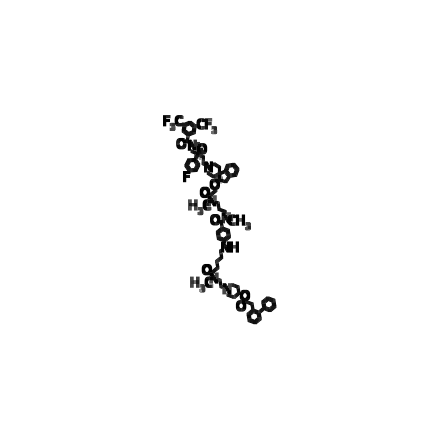 CN(CCN1CCC(OC(=O)Cc2ccccc2-c2ccccc2)CC1)C(=O)CCCCNc1ccc(C(=O)N(C)CCCN(C)C(=O)CO[C@H]2Cc3ccccc3C23CCN(CC[C@@]2(c4ccc(F)cc4)CN(C(=O)c4cc(C(F)(F)F)cc(C(F)(F)F)c4)CO2)CC3)cc1